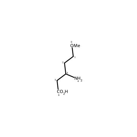 COCCC(N)CC(=O)O